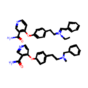 CCN(CCc1ccc(Oc2ccncc2C(N)=O)cc1)Cc1ccccc1.CN(CCc1ccc(Oc2ccncc2C(N)=O)cc1)Cc1ccccc1